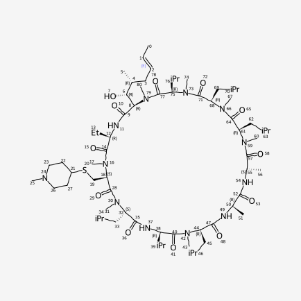 C/C=C/C[C@@H](C)[C@@H](O)[C@@H]1C(=O)N[C@H](CC)C(=O)N(C)[C@H](CSC2CCN(C)CC2)C(=O)N(C)[C@@H](CC(C)C)C(=O)N[C@H](C(C)C)C(=O)N(C)[C@H](CC(C)C)C(=O)N[C@H](C)C(=O)N[C@@H](C)C(=O)N(C)[C@H](CC(C)C)C(=O)N(C)[C@H](CC(C)C)C(=O)N(C)[C@H](C(C)C)C(=O)N1C